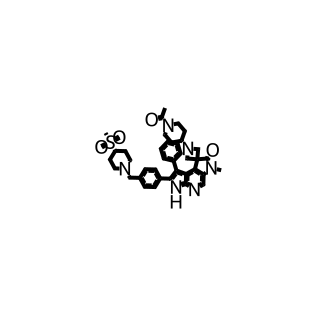 CC(=O)N1CCC(N2CC3(C2)C(=O)N(C)c2cnc4[nH]c(-c5ccc(CN6CCC(S(C)(=O)=O)CC6)cc5)c(-c5ccccc5)c4c23)CC1